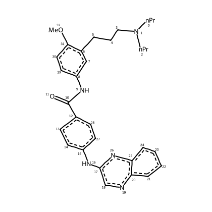 CCCN(CCC)CCCc1cc(NC(=O)c2ccc(Nc3cnc4ccccc4n3)cc2)ccc1OC